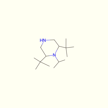 CC(C)N1C(C(C)(C)C)CNCC1C(C)(C)C